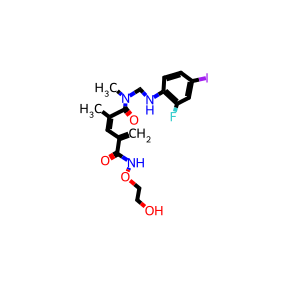 C=C(/C=C(/C)C(=O)N(C)CNc1ccc(I)cc1F)C(=O)NOCCO